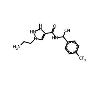 N#CC(NC(=O)C1=CN(CCN)NN1)c1ccc(C(F)(F)F)cc1